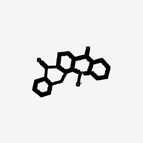 O=C1c2ccccc2Cc2c1ccc1c(=O)c3ccccc3[s+]([O-])c21